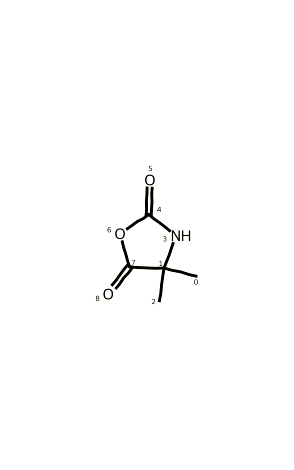 CC1(C)NC(=O)OC1=O